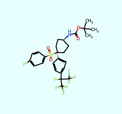 CC(C)(C)OC(=O)N[C@H]1CC[C@@](c2ccc(C(F)(C(F)(F)F)C(F)(F)F)cc2)(S(=O)(=O)c2ccc(F)cc2)CC1